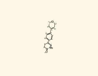 O=C1CCC(c2ccc(C3=CCOCC3)cc2)=NN1